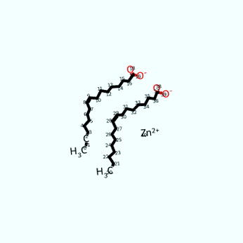 CCCCCCCC/C=C\CCCCCCCC(=O)[O-].CCCCCCCC/C=C\CCCCCCCC(=O)[O-].[Zn+2]